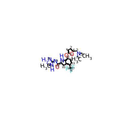 CCN(CC)Cc1ccc(Oc2ccc(C(F)(F)F)c3cc(C(=O)N=C(N)NC)[nH]c23)o1